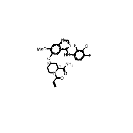 C=CC(=O)N1CC[C@H](Oc2cc3c(Nc4ccc(F)c(Cl)c4F)ncnc3cc2OC)C[C@H]1C(N)=O